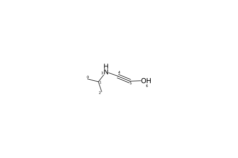 CC(C)NC#CO